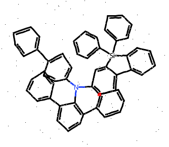 c1ccc(-c2ccc(N(c3ccc4c(c3)[Si](c3ccccc3)(c3ccccc3)c3ccccc3-4)c3c(-c4ccccc4)cccc3-c3ccccc3)cc2)cc1